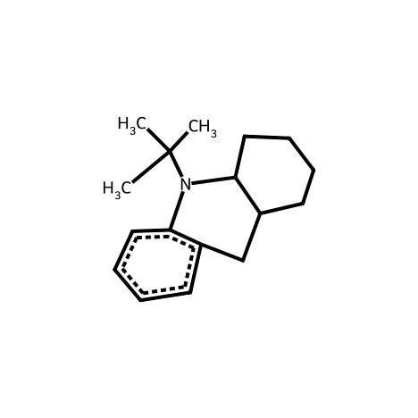 CC(C)(C)N1c2ccccc2CC2CCCCC21